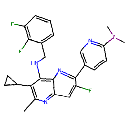 Cc1nc2cc(F)c(-c3ccc(P(C)C)nc3)nc2c(NCc2cccc(F)c2F)c1C1CC1